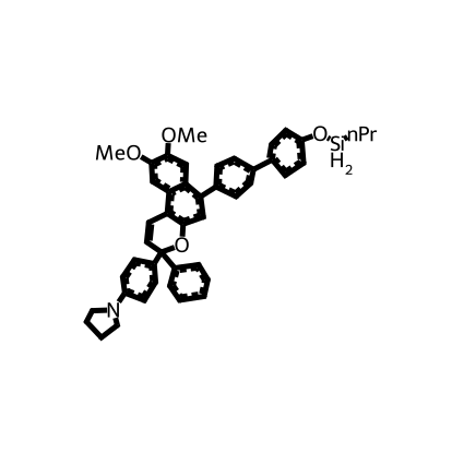 CCC[SiH2]Oc1ccc(-c2ccc(-c3cc4c(c5cc(OC)c(OC)cc35)C=CC(c3ccccc3)(c3ccc(N5CCCC5)cc3)O4)cc2)cc1